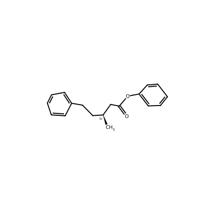 C[C@@H](CCc1ccccc1)CC(=O)Oc1ccccc1